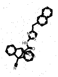 CC1(C(=O)Nc2nc(Cc3ccc4ccccc4c3)cs2)CC2(C#N)c3ccccc3C1c1ccccc12